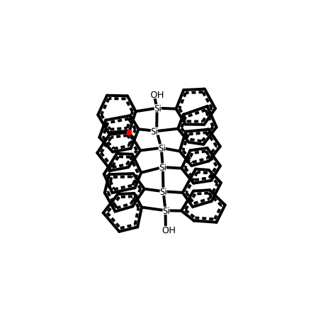 O[Si](c1ccccc1)(c1ccccc1)[Si](c1ccccc1)(c1ccccc1)[Si](c1ccccc1)(c1ccccc1)[Si](c1ccccc1)(c1ccccc1)[Si](c1ccccc1)(c1ccccc1)[Si](O)(c1ccccc1)c1ccccc1